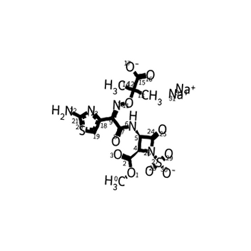 COC(=O)[C@H]1[C@@H](NC(=O)/C(=N\OC(C)(C)C(=O)[O-])c2csc(N)n2)C(=O)N1S(=O)(=O)[O-].[Na+].[Na+]